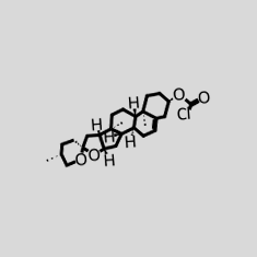 C[C@@H]1CC[C@@]2(C[C@H]3[C@H](C[C@H]4[C@@H]5CC=C6C[C@@H](OC(=O)Cl)CC[C@]6(C)[C@H]5CC[C@@]43C)O2)OC1